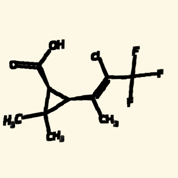 CC(=C(Cl)C(F)(F)F)[C@@H]1[C@H](C(=O)O)C1(C)C